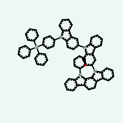 c1ccc(-n2c3ccccc3c3ccc4c5ccccc5n(-c5ccc6c(c5)c5ccccc5n6-c5ccc6c(c5)c5ccccc5n6-c5ccc([Si](c6ccccc6)(c6ccccc6)c6ccccc6)cc5)c4c32)cc1